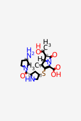 C[C@@H](O)[C@H]1C(=O)N2C(C(=O)O)=C(S[C@@H]3CN[C@H](C(=O)N4CC[C@H](N)C4)C3)[C@H](C)[C@H]12